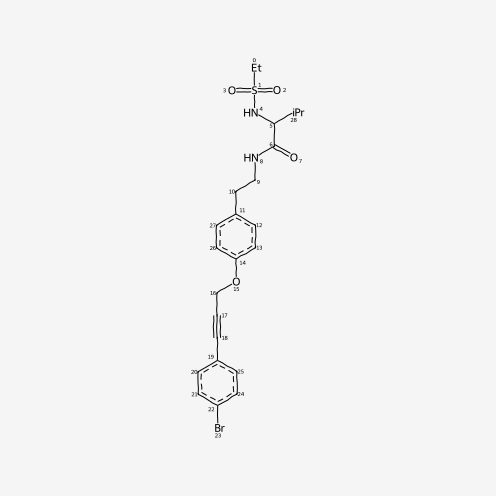 CCS(=O)(=O)NC(C(=O)NCCc1ccc(OCC#Cc2ccc(Br)cc2)cc1)C(C)C